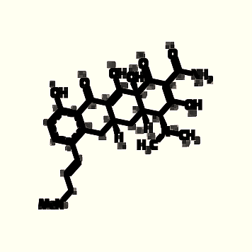 CNC/C=C/c1ccc(O)c2c1C[C@H]1C[C@H]3[C@H](N(C)C)C(O)=C(C(N)=O)C(=O)[C@@]3(O)C(O)=C1C2=O